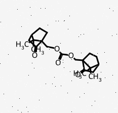 CC1(C)C2CCC1(COC(=O)OCC13CCC(CC1=O)C3(C)C)C(=O)C2